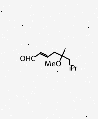 COC(C)(C/C=C/C=O)CC(C)C